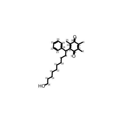 CC1=C(C)C(=O)C(C(CCCCCCCCCO)c2ccccc2)=C(C)C1=O